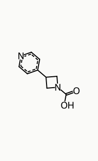 O=C(O)N1CC(c2ccncc2)C1